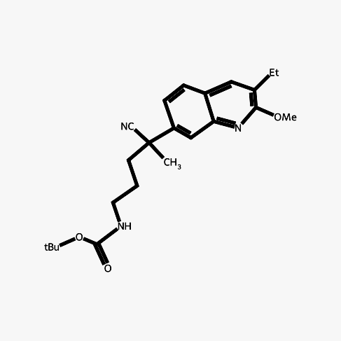 CCc1cc2ccc(C(C)(C#N)CCCNC(=O)OC(C)(C)C)cc2nc1OC